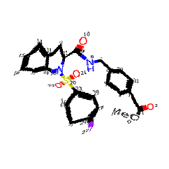 COC(=O)c1ccc(CNC(=O)[C@@H]2Cc3ccccc3N2S(=O)(=O)c2ccc(I)cc2)cc1